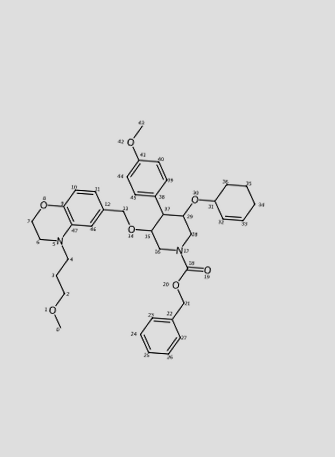 COCCCN1CCOc2ccc(COC3CN(C(=O)OCc4ccccc4)CC(OC4C=CCCC4)C3c3ccc(OC)cc3)cc21